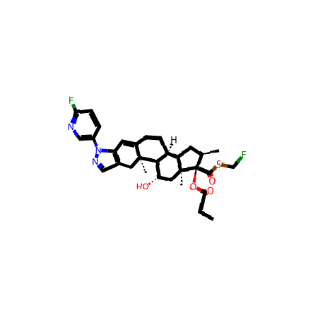 CCC(=O)O[C@]1(C(=O)SCF)[C@H](C)CC2[C@@H]3CCC4=Cc5c(cnn5-c5ccc(F)nc5)C[C@]4(C)C3[C@@H](O)C[C@@]21C